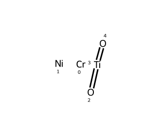 [Cr].[Ni].[O]=[Ti]=[O]